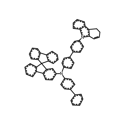 C1=Cc2c(c3ccccc3n2-c2ccc(-c3ccc(N(c4ccc(-c5ccccc5)cc4)c4ccc5c(c4)C4(c6ccccc6-c6ccccc64)c4ccccc4-5)cc3)cc2)CC1